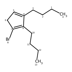 CCCCC1=[C]CC(Br)=C1CCCC